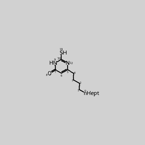 CCCCCCCCCCCc1cc(=O)[nH]c(S)n1